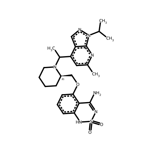 Cc1cc(C(C)N2CCCC[C@@H]2COc2cccc3c2C(N)=NS(=O)(=O)N3)c2cnn(C(C)C)c2n1